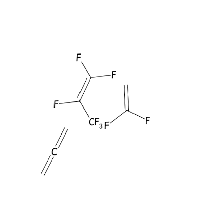 C=C(F)F.C=C=C.FC(F)=C(F)C(F)(F)F